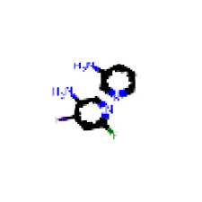 Nc1cccnc1.Nc1cnc(F)cc1I